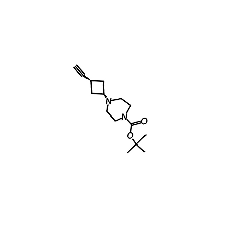 C#C[C@H]1C[C@@H](N2CCN(C(=O)OC(C)(C)C)CC2)C1